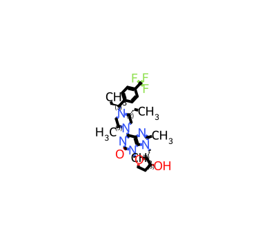 CC[C@@H]1CN(c2nc(=O)n(C)c3c2nc(C)n3C[C@H]2OCC[C@@H]2O)[C@@H](C)CN1[C@@H](CC)c1ccc(C(F)(F)F)cc1